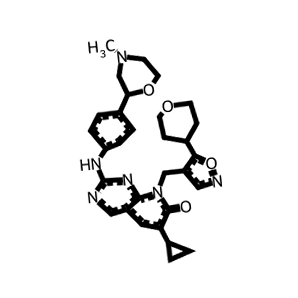 CN1CCOC(c2ccc(Nc3ncc4cc(C5CC5)c(=O)n(Cc5cnoc5C5CCOCC5)c4n3)cc2)C1